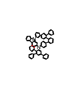 c1ccc(-c2cc(-c3ccccc3)c(-c3ccccc3)c(N(c3ccc(-c4ccccc4-c4ccccc4-c4ccccc4)cc3)c3ccc4c5ccccc5n(-c5ccccc5)c4c3)c2)cc1